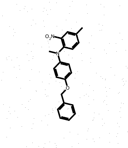 Cc1ccc(N(C)c2ccc(OCc3ccccc3)cc2)c([N+](=O)[O-])c1